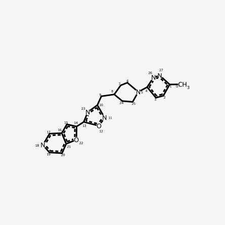 Cc1ccc(N2CCC(Cc3noc(-c4cc5cnccc5o4)n3)CC2)nn1